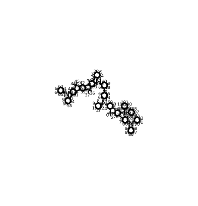 CC1(C)c2cc(N(c3ccccc3)c3ccc(-c4cccc(-n5c6ccccc6c6cc7c(cc65)C(C)(C)c5cc6c(cc5-7)C(C)(C)c5cc7c(cc5-6)c5ccccc5n7-c5ccccc5)c4)cc3)ccc2-c2cc3c(cc21)-c1ccc(N(c2ccccc2)c2ccccc2)cc1C3(c1ccccc1)c1ccccc1